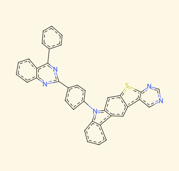 c1ccc(-c2nc(-c3ccc(-n4c5ccccc5c5cc6c(cc54)sc4ncncc46)cc3)nc3ccccc23)cc1